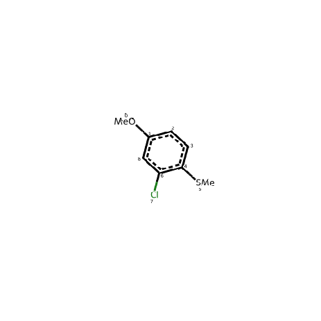 COc1ccc(SC)c(Cl)c1